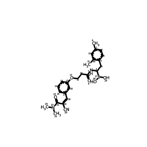 Cc1ccc(CC(NC(=O)CCOc2cccc(C=C(C#N)C(=O)N(C)C)c2)B(O)O)c(C)c1